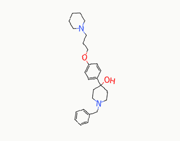 OC1(c2ccc(OCCCN3CCCCC3)cc2)CCN(Cc2ccccc2)CC1